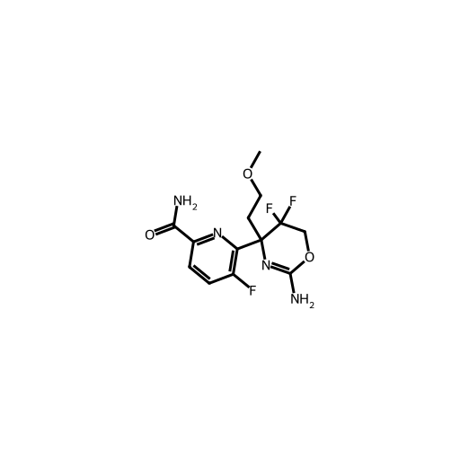 COCCC1(c2nc(C(N)=O)ccc2F)N=C(N)OCC1(F)F